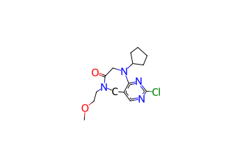 COCCN1Cc2cnc(Cl)nc2N(C2CCCC2)CC1=O